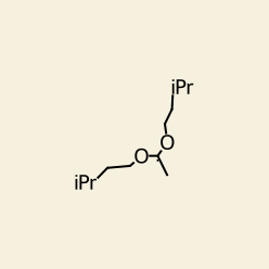 C[C](OCCC(C)C)OCCC(C)C